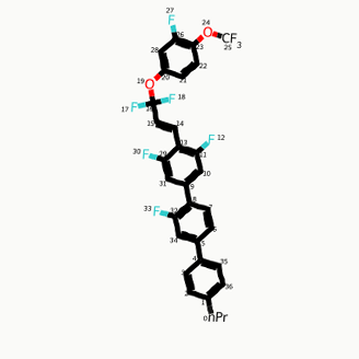 CCCc1ccc(-c2ccc(-c3cc(F)c(/C=C/C(F)(F)Oc4ccc(OC(F)(F)F)c(F)c4)c(F)c3)c(F)c2)cc1